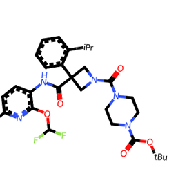 Cc1ccc(NC(=O)C2(c3ccccc3C(C)C)CN(C(=O)N3CCN(C(=O)OC(C)(C)C)CC3)C2)c(OC(F)F)n1